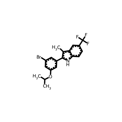 Cc1c(-c2cc(Br)cc(OC(C)C)c2)[nH]c2ccc(C(F)(F)F)cc12